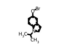 CC(C)n1ccc2cc(OBr)ccc21